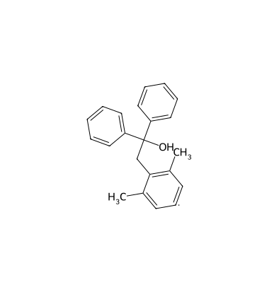 Cc1c[c]cc(C)c1CC(O)(c1ccccc1)c1ccccc1